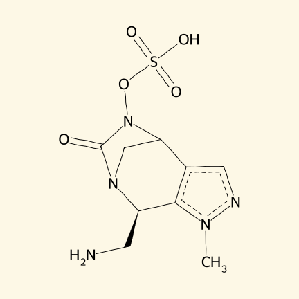 Cn1ncc2c1[C@@H](CN)N1CC2N(OS(=O)(=O)O)C1=O